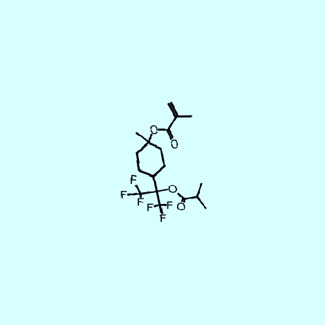 C=C(C)C(=O)OC1(C)CCC(C(OC(=O)C(C)C)(C(F)(F)F)C(F)(F)F)CC1